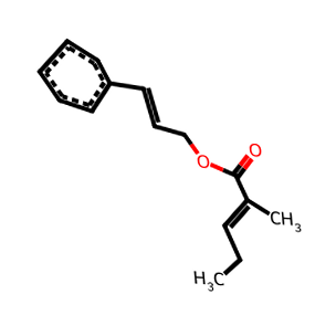 CCC=C(C)C(=O)OC/C=C/c1ccccc1